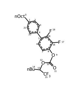 CCCCCCCCc1ccc(-c2ccc(OC(=O)OC(CCCC)C(F)(F)F)c(F)c2F)cc1